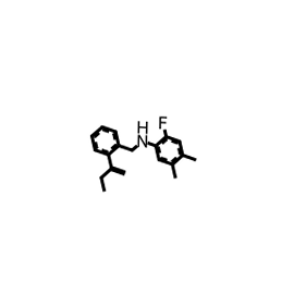 C=C(CC)c1ccccc1CNc1cc(C)c(C)cc1F